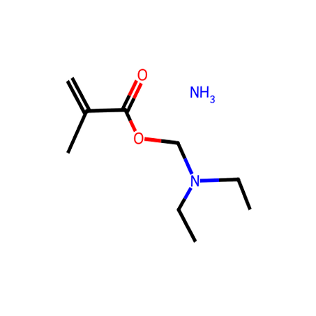 C=C(C)C(=O)OCN(CC)CC.N